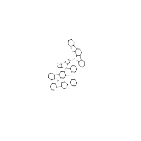 c1ccc(N2c3ccccc3C3(c4cc5c(cc42)C2(c4ccccc4-5)c4ccncc4-c4ncccc42)c2cccnc2-c2ncc(-n4c5ccccc5c5ccc6c7ccccc7oc6c54)cc23)cc1